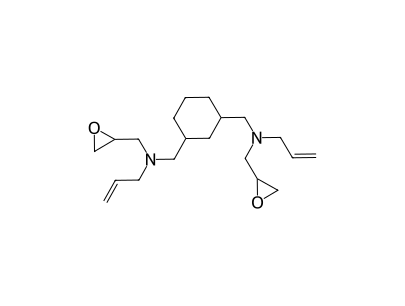 C=CCN(CC1CCCC(CN(CC=C)CC2CO2)C1)CC1CO1